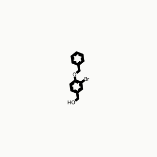 OCc1ccc(OCc2ccccc2)c(Br)c1